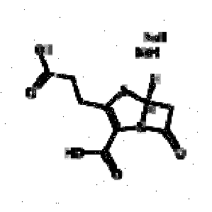 O=C(O)CCC1=C(C(=O)O)N2C(=O)C[C@H]2S1.[NaH].[NaH]